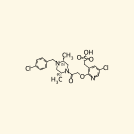 C[C@@H]1CN(Cc2ccc(Cl)cc2)[C@@H](C)CN1C(=O)COc1ncc(Cl)cc1CS(=O)(=O)O